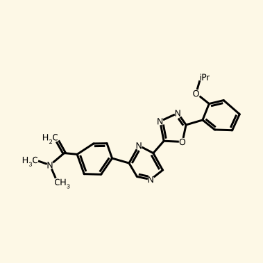 C=C(c1ccc(-c2cncc(-c3nnc(-c4ccccc4OC(C)C)o3)n2)cc1)N(C)C